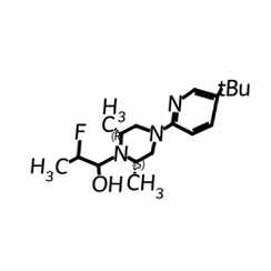 CC(F)C(O)N1[C@H](C)CN(c2ccc(C(C)(C)C)cn2)C[C@@H]1C